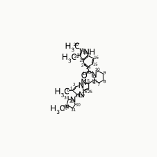 Cc1cn2nc([C@@H]3CCCCN3C(=O)c3ccc4[nH]c(C)c(C)c4c3)cc2nc1N1CC[C@H](C)C1